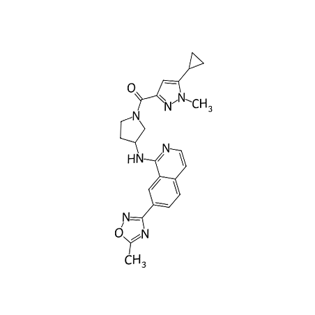 Cc1nc(-c2ccc3ccnc(NC4CCN(C(=O)c5cc(C6CC6)n(C)n5)C4)c3c2)no1